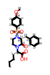 CCCC[C@@H](C(=O)O)N1CCN(S(=O)(=O)c2ccc(OC)cc2)[C@H](Cc2ccccc2)C1=O